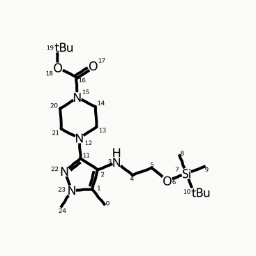 Cc1c(NCCO[Si](C)(C)C(C)(C)C)c(N2CCN(C(=O)OC(C)(C)C)CC2)nn1C